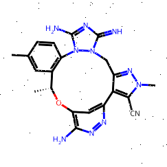 Cc1ccc2c(c1)[C@@H](C)Oc1cc(nnc1N)-c1c(nn(C)c1C#N)Cn1c(=N)nc(N)n1-2